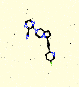 N#Cc1nccnc1N1C=Cn2c(C#CC3CCC(F)C=N3)ccc2C1